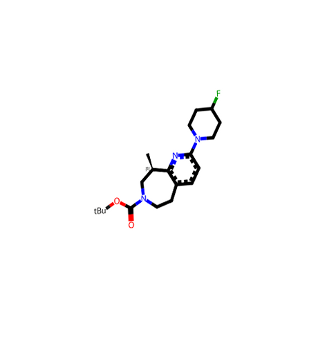 C[C@@H]1CN(C(=O)OC(C)(C)C)CCc2ccc(N3CCC(F)CC3)nc21